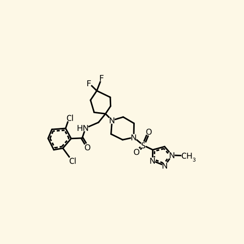 Cn1cc(S(=O)(=O)N2CCN(C3(CNC(=O)c4c(Cl)cccc4Cl)CCC(F)(F)CC3)CC2)nn1